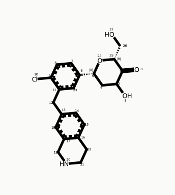 O=C1C(O)C[C@H](c2ccc(Cl)c(Cc3ccc4c(c3)CNCC4)c2)O[C@@H]1CO